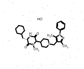 Cc1nn(-c2ccccc2)c(C)c1CN1CCC(C2C(=O)N[C@@H](CC3CCCCC3)C(=O)N2C)CC1.Cl